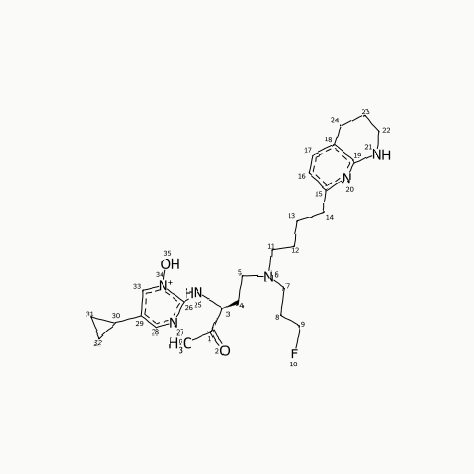 CC(=O)[C@H](CCN(CCCF)CCCCc1ccc2c(n1)NCCC2)Nc1ncc(C2CC2)c[n+]1O